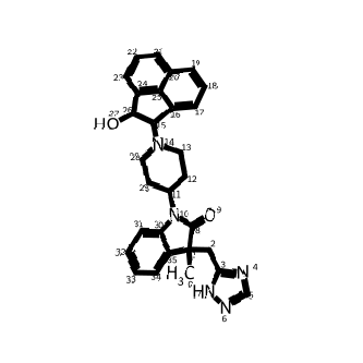 CC1(Cc2ncn[nH]2)C(=O)N(C2CCN(C3c4cccc5cccc(c45)C3O)CC2)c2ccccc21